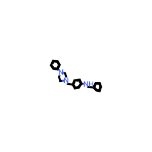 c1ccc(CNc2ccc(CN3CCN(c4ccccc4)CC3)cc2)cc1